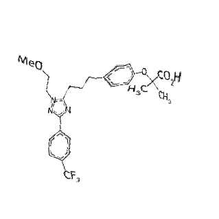 COCCn1nc(-c2ccc(C(F)(F)F)cc2)nc1CCCc1ccc(OC(C)(C)C(=O)O)cc1